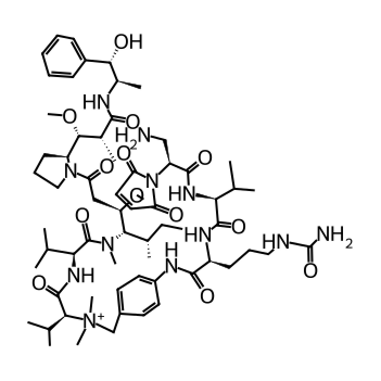 CC[C@H](C)[C@@H]([C@@H](CC(=O)N1CCC[C@H]1[C@H](OC)[C@@H](C)C(=O)N[C@H](C)[C@@H](O)c1ccccc1)OC)N(C)C(=O)[C@@H](NC(=O)[C@H](C(C)C)[N+](C)(C)Cc1ccc(NC(=O)[C@H](CCCNC(N)=O)NC(=O)[C@@H](NC(=O)[C@H](CN)N2C(=O)C=CC2=O)C(C)C)cc1)C(C)C